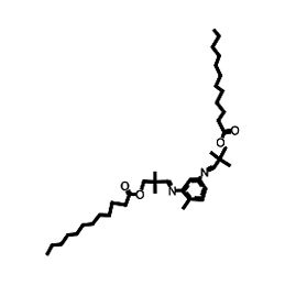 CCCCCCCCCCCC(=O)OCC(C)(C)C=Nc1ccc(C)c(N=CC(C)(C)COC(=O)CCCCCCCCCCC)c1